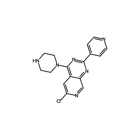 Clc1cc2c(N3CCNCC3)nc(-c3ccncc3)nc2cn1